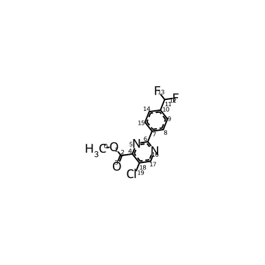 COC(=O)c1nc(-c2ccc(C(F)F)cc2)ncc1Cl